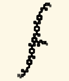 C=CC(=O)OCCc1ccc(OC(=O)C2CCC(C(=O)Oc3ccc(OC(=O)C4CCC(C(=O)Oc5ccc(CCOC(=O)C=C)cc5)CC4)c(C(=O)OC)c3)CC2)cc1